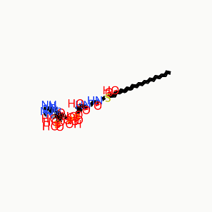 CCCCCCCCCCCCCC=CC=CC=CC(O)=CC(=O)SCCNC(=O)CCNC(=O)[C@H](O)C(C)(C)COP(=O)(O)OP(=O)(O)OC[C@H]1O[C@@H](n2cnc3c(N)ncnc32)[C@H](O)[C@@H]1OP(=O)(O)O